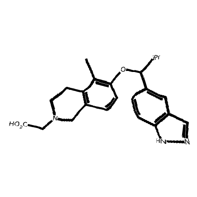 Cc1c(OC(c2ccc3[nH]ncc3c2)C(C)C)ccc2c1CCN(CC(=O)O)C2